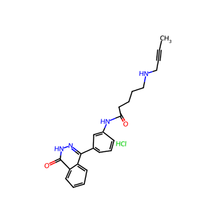 CC#CCNCCCCC(=O)Nc1cccc(-c2n[nH]c(=O)c3ccccc23)c1.Cl